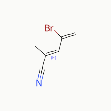 C=C(Br)/C=C(\C)C#N